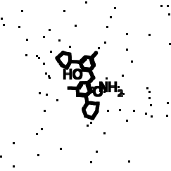 Cc1cc(Cc2cc(C)cc(C3CCCCC3)c2ON)c(O)c(C2CCCCC2)c1